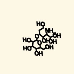 NC(C(O)O)C(O)C(CCO)OC1OC(CO)C(O)C(O)C1O